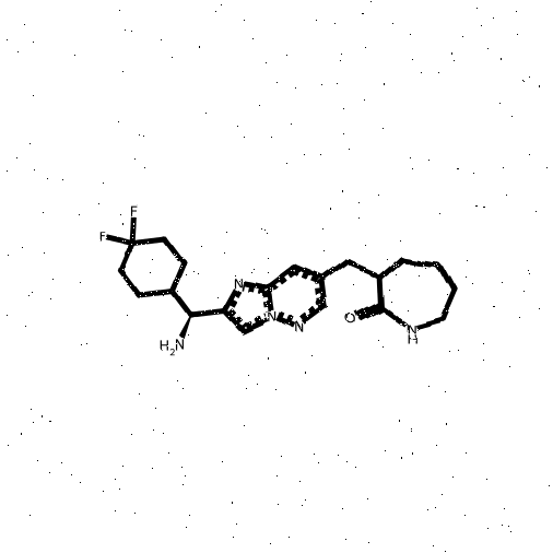 N[C@H](c1cn2ncc(CC3CCCCNC3=O)cc2n1)C1CCC(F)(F)CC1